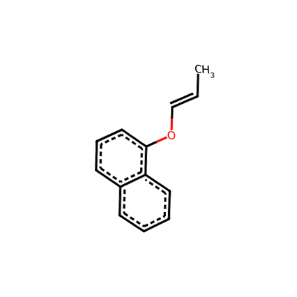 CC=COc1cccc2ccccc12